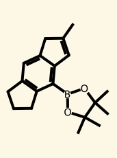 CC1=Cc2c(cc3c(c2B2OC(C)(C)C(C)(C)O2)CCC3)C1